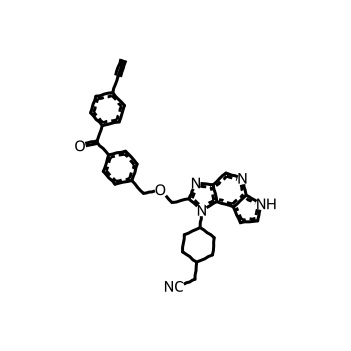 C#Cc1ccc(C(=O)c2ccc(COCc3nc4cnc5[nH]ccc5c4n3C3CCC(CC#N)CC3)cc2)cc1